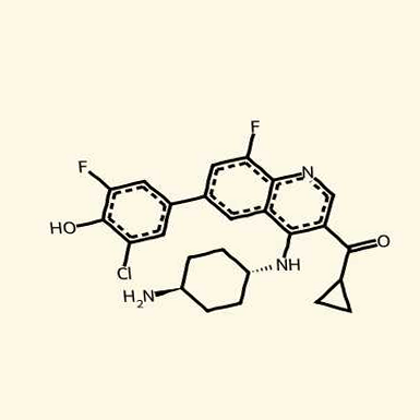 N[C@H]1CC[C@H](Nc2c(C(=O)C3CC3)cnc3c(F)cc(-c4cc(F)c(O)c(Cl)c4)cc23)CC1